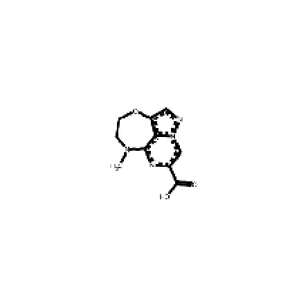 CN1CCOc2cnn3cc(C(=O)O)nc1c23